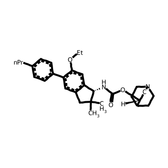 CCCc1ccc(-c2cc3c(cc2OCC)[C@H](NC(=O)O[C@@H]2CN4CCC2CC4)C(C)(C)C3)cc1